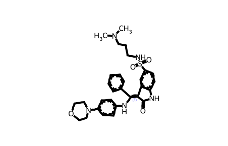 CN(C)CCCNS(=O)(=O)c1ccc2c(c1)/C(=C(/Nc1ccc(N3CCOCC3)cc1)c1ccccc1)C(=O)N2